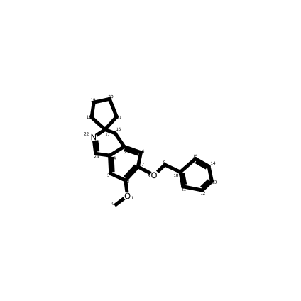 COc1cc2c(cc1OCc1ccccc1)CC1(CCCC1)N=C2